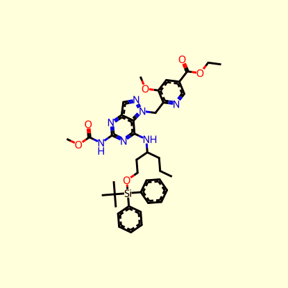 CCCC(CCO[Si](c1ccccc1)(c1ccccc1)C(C)(C)C)Nc1nc(NC(=O)OC)nc2cnn(Cc3ncc(C(=O)OCC)cc3OC)c12